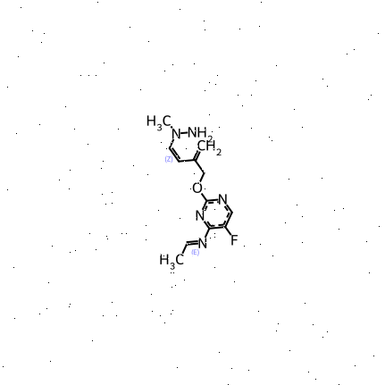 C=C(/C=C\N(C)N)COc1ncc(F)c(/N=C/C)n1